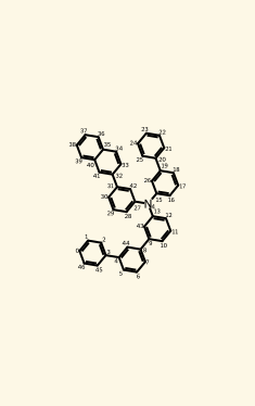 c1ccc(-c2cccc(-c3cccc(N(c4cccc(-c5ccccc5)c4)c4cccc(-c5ccc6ccccc6c5)c4)c3)c2)cc1